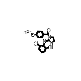 CCCOc1ccc(C(=O)N2CCNC2=Nc2c(Cl)cccc2Cl)cc1